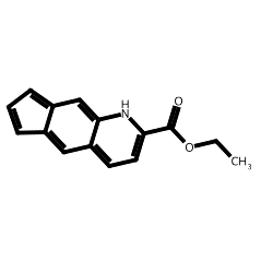 CCOC(=O)c1ccc2cc3cccc3cc2[nH]1